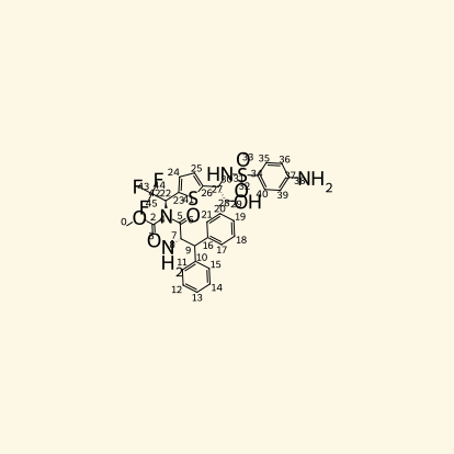 COC(=O)N(C(=O)[C@@H](N)C(c1ccccc1)c1ccccc1)[C@H](c1ccc([C@@H](CO)NS(=O)(=O)c2ccc(N)cc2)s1)C(F)(F)F